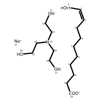 CCCCCCCC/C=C\CCCCCCCC(=O)[O-].OCCN(CCO)CCO.[Na+]